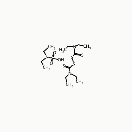 CCN(CC)C(=S)SSC(=S)N(CC)CC.CCN(CC)S(=O)(=O)O